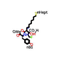 CCCCCCCSCCCCCC/C=C/[C@H](C(=O)N[C@@H](Cc1ccc(OCCCC)cc1)C(=O)OC)[C@@](O)(CCF)C(=O)O